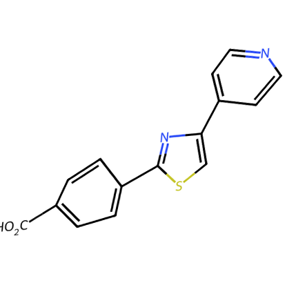 O=C(O)c1ccc(-c2nc(-c3ccncc3)cs2)cc1